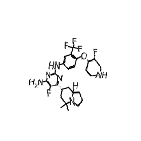 CC1(C)C[C@H](c2nc(Nc3ccc(O[C@H]4CCNC[C@@H]4F)c(C(F)(F)F)c3)nc(N)c2F)C[C@@H]2CCCN21